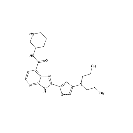 O=C(NC1CCCNC1)c1ccnc2[nH]c(-c3cc(N(CCO)CCO)cs3)nc12